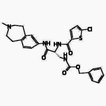 CN1CCc2ccc(NC(=O)[C@@H](CNC(=O)OCc3ccccc3)NC(=O)c3ccc(Cl)s3)cc2CC1